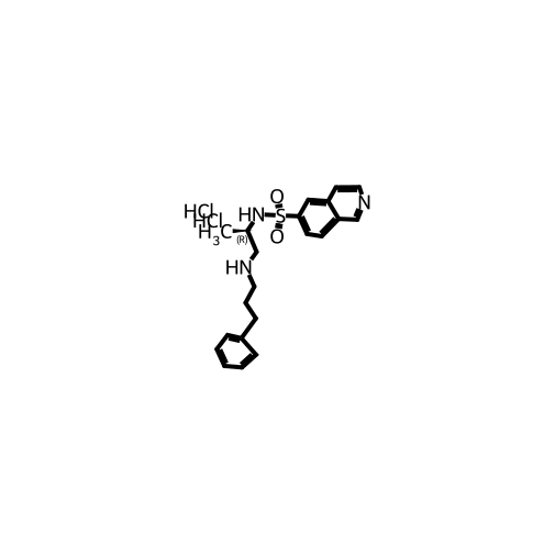 C[C@H](CNCCCc1ccccc1)NS(=O)(=O)c1ccc2cnccc2c1.Cl.Cl